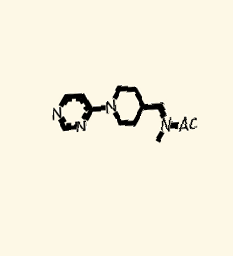 CC(=O)N(C)CC1CCN(c2ccncn2)CC1